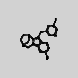 Fc1cncc(Cn2c3c(c4cc(F)ccc42)CN2CCC3CC2)c1